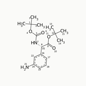 CC(C)(C)OC(=O)N[C@H](C(=O)OC(C)(C)C)c1cccc(N)c1